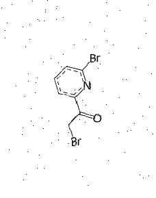 O=C(CBr)c1cccc(Br)n1